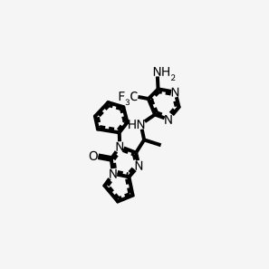 CC(Nc1ncnc(N)c1C(F)(F)F)c1nc2cccn2c(=O)n1-c1ccccc1